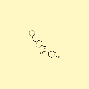 O=C(OC1CCN(Cc2ccccc2)CC1)c1ccc(F)cc1